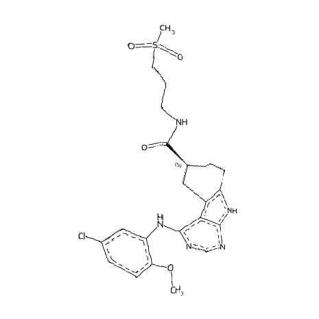 COc1ccc(Cl)cc1Nc1ncnc2[nH]c3c(c12)C[C@@H](C(=O)NCCCS(C)(=O)=O)CC3